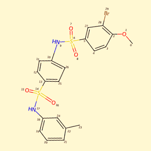 COc1ccc(S(=O)(=O)Nc2ccc(S(=O)(=O)Nc3cccc(C)c3)cc2)cc1Br